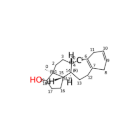 C[C@]12CC[C@@H]3CC4=C(CC=CC4)CC[C@H]3[C@@H]1CCC2O